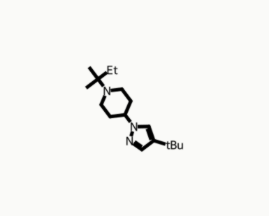 CCC(C)(C)N1CCC(n2cc(C(C)(C)C)cn2)CC1